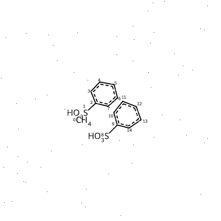 C.O=S(=O)(O)c1ccccc1.O=S(=O)(O)c1ccccc1